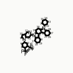 FC(F)(F)c1ccc(-n2ccc3cnc(-n4c5ccccc5c5c6c7ccccc7n(-c7ccccc7)c6ccc54)cc32)cc1C(F)(F)F